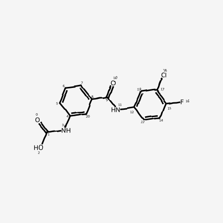 O=C(O)Nc1cccc(C(=O)Nc2ccc(F)c(Cl)c2)c1